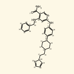 NC(=O)c1cnc(Nc2ccc(N3CCC(CCn4cccn4)CC3)cc2)cc1NCc1ccccc1